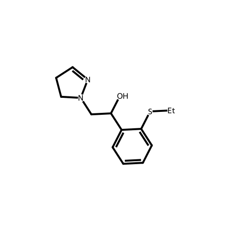 CCSc1ccccc1C(O)CN1CCC=N1